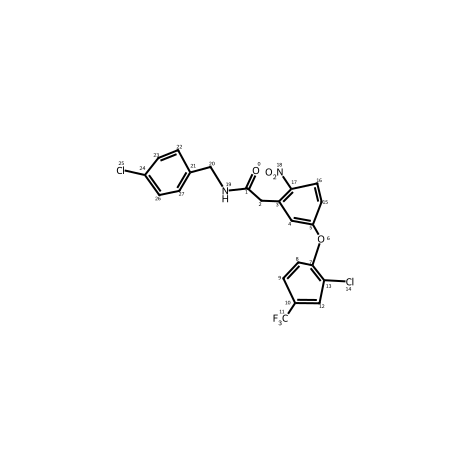 O=C(Cc1cc(Oc2ccc(C(F)(F)F)cc2Cl)ccc1[N+](=O)[O-])NCc1ccc(Cl)cc1